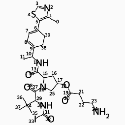 Cc1ncsc1C1=CC=C(C(C)NC(=O)C2CC(OC(=O)CCCN)CN2C(=O)C(NC(=O)I)C(C)(C)C)CC1